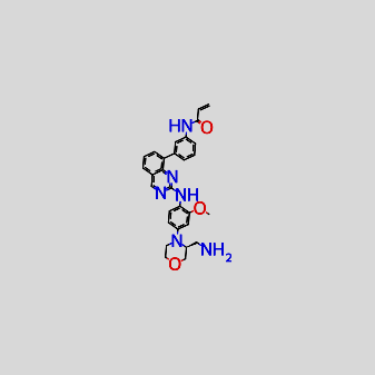 C=CC(=O)Nc1cccc(-c2cccc3cnc(Nc4ccc(N5CCOC[C@@H]5CN)cc4OC)nc23)c1